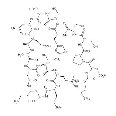 CSCC[C@H](NC(=O)[C@H](CC(N)=O)NC(=O)[C@H](CO)NC(=O)[C@H](CO)NC(=O)[C@H](Cc1c[nH]cn1)NC(=O)[C@H](CO)NC(=O)[C@H](CO)NC(=O)[C@@H]1CCCN1C(=O)[C@H](CC(=O)O)NC(=O)[C@@H](N)CCSC)C(=O)N[C@@H](C)C(=O)N[C@@H](CC(N)=O)C(=O)N[C@H](C(=O)N[C@@H](CCC(N)=O)C(=O)N[C@@H](CCSC)C(=O)N[C@@H](CCCCN)C(=O)O)[C@@H](C)O